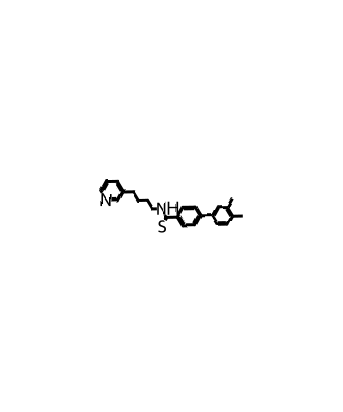 Cc1ccc(-c2ccc(C(=S)NCCCCc3cccnc3)cc2)cc1C